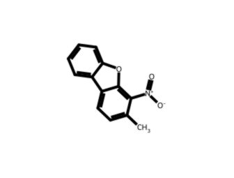 Cc1ccc2c(oc3ccccc32)c1[N+](=O)[O-]